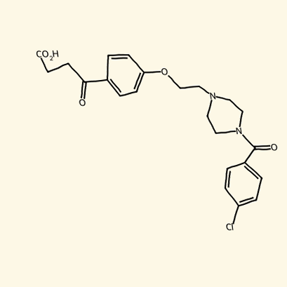 O=C(O)CCC(=O)c1ccc(OCCN2CCN(C(=O)c3ccc(Cl)cc3)CC2)cc1